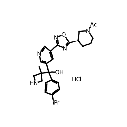 CC(=O)N1CCC[C@@H](c2nc(-c3cncc(C(O)(c4ccc(C(C)C)cc4)C4(C)CNC4)c3)no2)C1.Cl